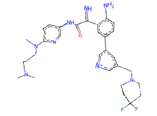 CN(C)CCN(C)c1ccc(NC(=O)C(=N)c2cc(-c3cncc(CN4CCC(F)(F)CC4)c3)ccc2N)cn1